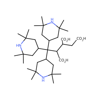 CC1(C)CC(C(C2CC(C)(C)NC(C)(C)C2)(C2CC(C)(C)NC(C)(C)C2)C(C(=O)O)C(CC(=O)O)C(=O)O)CC(C)(C)N1